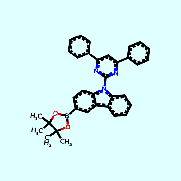 CC1(C)OB(c2ccc3c(c2)c2ccccc2n3-c2nc(-c3ccccc3)cc(-c3ccccc3)n2)OC1(C)C